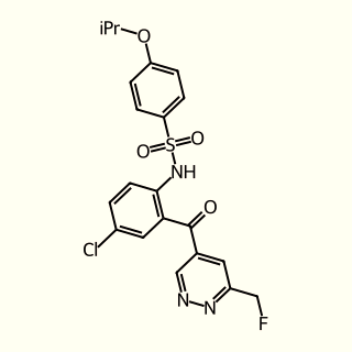 CC(C)Oc1ccc(S(=O)(=O)Nc2ccc(Cl)cc2C(=O)c2cnnc(CF)c2)cc1